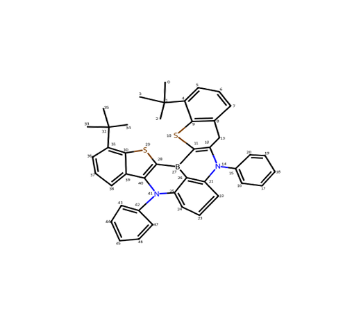 CC(C)(C)c1cccc2c1SC1=C(C2)N(c2ccccc2)c2cccc3c2B1c1sc2c(C(C)(C)C)cccc2c1N3c1ccccc1